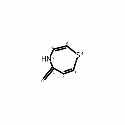 C=C1C=CSC=CN1